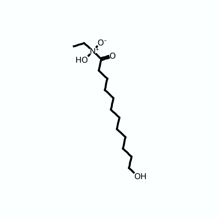 CC[N+]([O-])(O)C(=O)CCCCCCCCCCCO